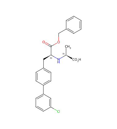 C[C@H](N[C@@H](Cc1ccc(-c2cccc(Cl)c2)cc1)C(=O)OCc1ccccc1)C(=O)O